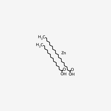 CCCCCCCCCCCCCC(=O)O.CCCCCCCCCCCCCCCCCC(=O)O.[Zn]